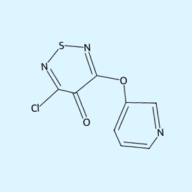 O=c1c(Cl)nsnc1Oc1cccnc1